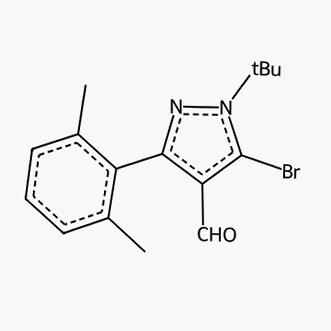 Cc1cccc(C)c1-c1nn(C(C)(C)C)c(Br)c1C=O